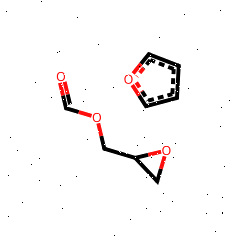 O=COCC1CO1.c1ccoc1